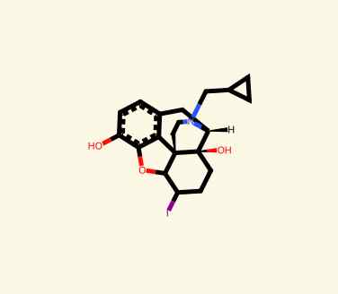 Oc1ccc2c3c1OC1C(I)CC[C@@]4(O)[C@@H](C2)N(CC2CC2)CC[C@]314